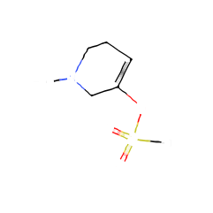 CN1CCC=C(OS(=O)(=O)C(F)(F)F)C1